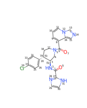 O=C(N[C@@H]1CN(C(=O)c2cccn3cncc23)CC[C@H]1c1ccc(Cl)cc1)c1ncc[nH]1